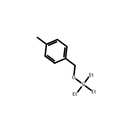 CC[Si](CC)(CC)OCc1ccc(C)cc1